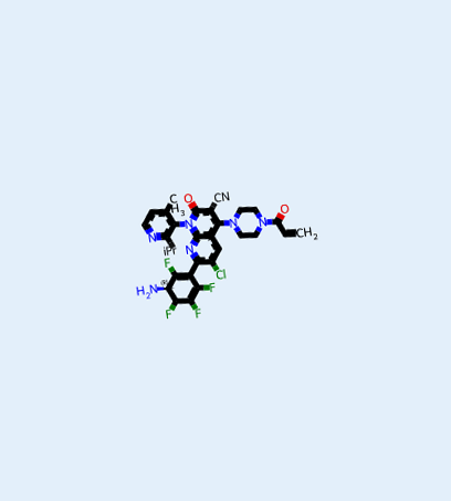 C=CC(=O)N1CCN(c2c(C#N)c(=O)n(-c3c(C)ccnc3C(C)C)c3nc(C4=C(F)[C@H](N)C(F)C(F)=C4F)c(Cl)cc23)CC1